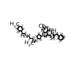 Cc1ccc(CCNCCCN(C)C[C@@H]2CC[C@H](n3cc(-c4nc(Cc5ccccc5)cs4)c4c(N)nc(Cl)nc43)C2)cc1